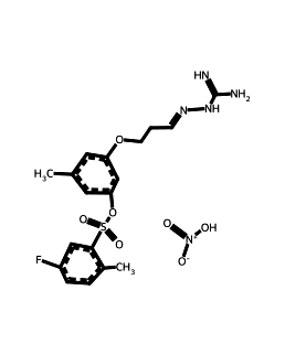 Cc1cc(OCCC=NNC(=N)N)cc(OS(=O)(=O)c2cc(F)ccc2C)c1.O=[N+]([O-])O